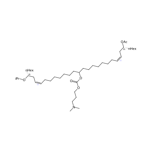 CCCCCC[C@H](C/C=C\CCCCCCCC(CCCCCCC/C=C\C[C@@H](CCCCCC)OC(C)C)OC(=O)OCCCN(C)C)OC(C)=O